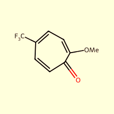 COc1ccc(C(F)(F)F)ccc1=O